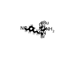 CCCCOc1nc(N)c2nc(Br)n(CCCc3cccc(CC#N)c3)c2n1